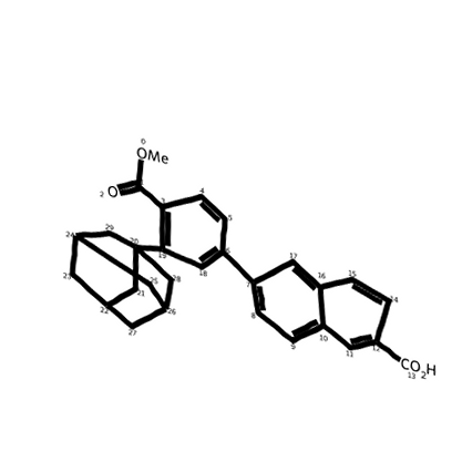 COC(=O)c1ccc(-c2ccc3cc(C(=O)O)ccc3c2)cc1C12CC3CC(CC(C3)C1)C2